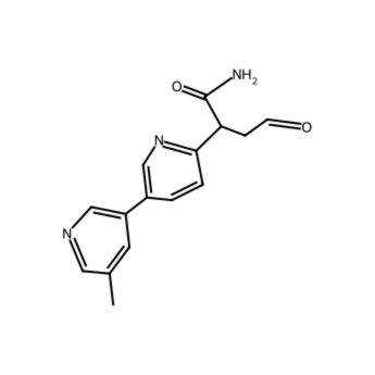 Cc1cncc(-c2ccc(C(CC=O)C(N)=O)nc2)c1